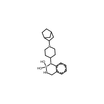 OS1(O)NCc2ccccc2N1C1CCN(C2CC3CCC2C3)CC1